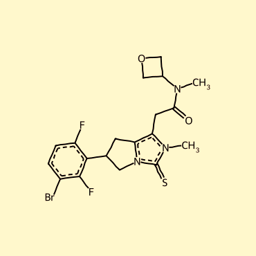 CN(C(=O)Cc1c2n(c(=S)n1C)CC(c1c(F)ccc(Br)c1F)C2)C1COC1